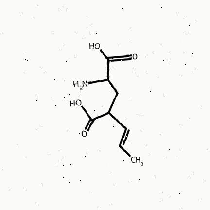 CC=CC(CC(N)C(=O)O)C(=O)O